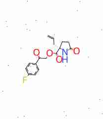 C=CC[C@]1(C(=O)OCC(=O)c2ccc(F)cc2)CCC(=O)N1